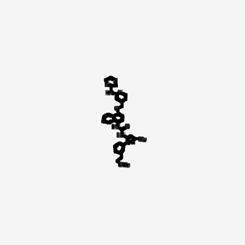 COCCc1cccc(-n2nc(C(C)(C)C)cc2NC(=O)Nc2ccc(OCc3ccnc(Nc4cnccn4)c3)c3ccccc23)c1